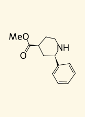 COC(=O)[C@H]1CCN[C@@H](c2ccccc2)C1